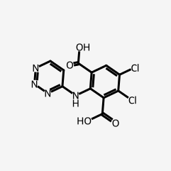 O=C(O)c1cc(Cl)c(Cl)c(C(=O)O)c1Nc1ccnnn1